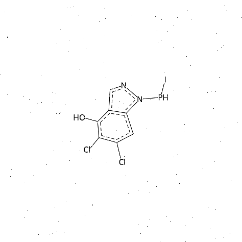 Oc1c(Cl)c(Cl)cc2c1cnn2PI